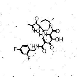 CC1=NO[C@@]2(CC[C@H](C)N3C[C@H]2n2cc(C(=O)NCc4ccc(F)cc4F)c(=O)c(O)c2C3=O)C1=O